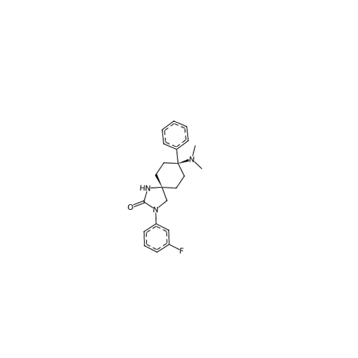 CN(C)[C@]1(c2ccccc2)CC[C@@]2(CC1)CN(c1cccc(F)c1)C(=O)N2